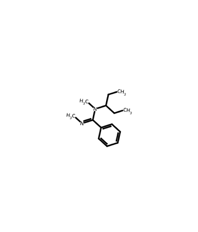 CCC(CC)N(C)/C(=N\C)c1ccccc1